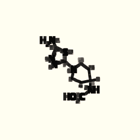 CC1(NC(=O)O)CCN(c2nnc(N)s2)CC1